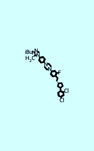 C=C1N(c2ccc(N3CCN(c4ccc(CC[C@@H]5CCC(c6ccc(Cl)cc6Cl)C5)c(F)c4)CC3)cc2)C=NN1C(C)CC